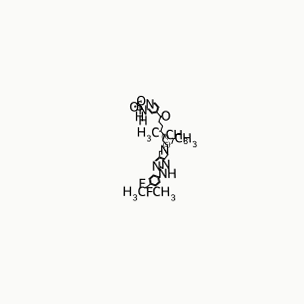 CCC[C@@H](C[C@@H](C)C(C)CCC(=O)c1ccnc(N[SH](=O)=O)c1)N1Cc2cnc(Nc3ccc(C(C)(F)F)c(C)c3)nc2C1